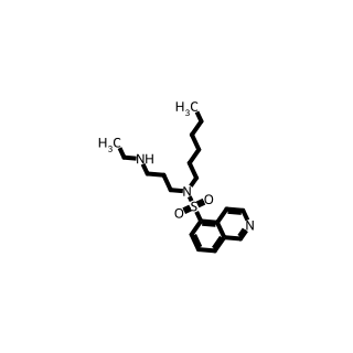 CCCCCCN(CCCNCC)S(=O)(=O)c1cccc2cnccc12